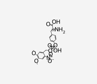 COc1cc(COP(=O)(O)Oc2ccc(C[C@H](N)C(=O)O)cc2)c([N+](=O)[O-])cc1OC